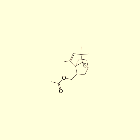 CC(=O)OCC1CC23CC[C@@]14C(C)=CC(C)(C)[C@]24C3